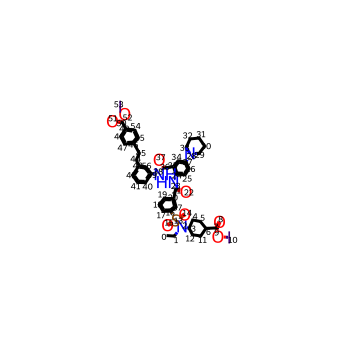 CCN(C1CCC(C(=O)OI)CC1)S(=O)(=O)c1cccc(C(=O)Nc2ccc(N3CCCCC3)cc2C(=O)Nc2cccc(CCc3ccc(C(=O)OI)cc3)c2)c1